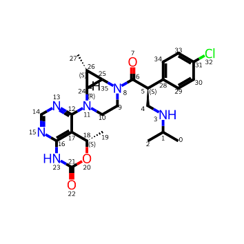 CC(C)NC[C@@H](C(=O)N1CCN(c2ncnc3c2[C@H](C)OC(=O)N3)[C@H]2C1[C@H]2C)c1ccc(Cl)cc1